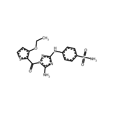 CCOc1ccsc1C(=O)n1nc(Nc2ccc(S(N)(=O)=O)cc2)nc1N